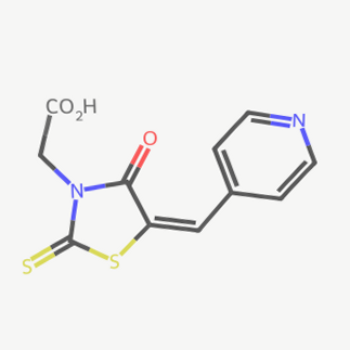 O=C(O)CN1C(=O)/C(=C\c2ccncc2)SC1=S